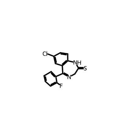 Fc1ccccc1C1=NCC(=S)Nc2ccc(Cl)cc21